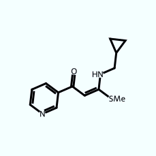 CSC(=CC(=O)c1cccnc1)NCC1CC1